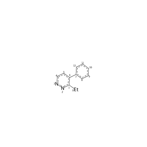 CCc1nnccc1-c1ccccc1